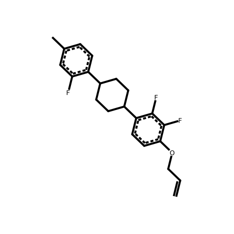 C=CCOc1ccc(C2CCC(c3ccc(C)cc3F)CC2)c(F)c1F